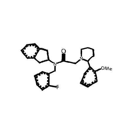 COc1ccccc1C1CCCCN1CC(=O)N(Cc1ccccc1F)C1Cc2ccccc2C1